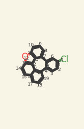 Clc1ccc2c(c1)-c1cccc3oc4ccc5cccc-2c5c4c13